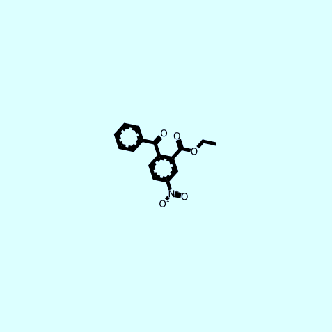 CCOC(=O)c1cc([N+](=O)[O-])ccc1C(=O)c1ccccc1